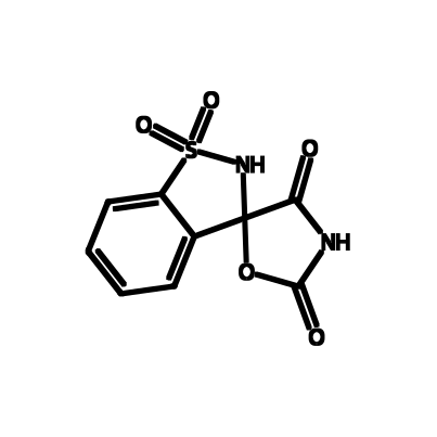 O=C1NC(=O)C2(NS(=O)(=O)c3ccccc32)O1